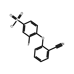 N#Cc1ccccc1Oc1ccc(S(=O)(=O)Cl)cc1F